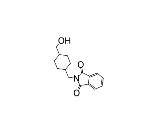 O=C1c2ccccc2C(=O)N1CC1CCC(CO)CC1